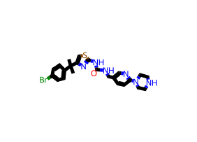 CC(C)(c1ccc(Br)cc1)c1csc(NC(=O)NCc2ccc(N3CCNCC3)nc2)n1